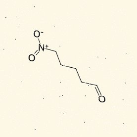 O=CCCCC[N+](=O)[O-]